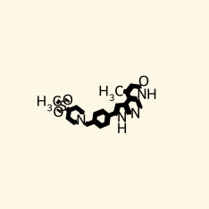 Cc1cc(=O)[nH]c2cnc3[nH]c(-c4ccc(CN5CCC(S(C)(=O)=O)CC5)cc4)cc3c12